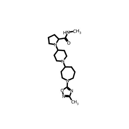 CNC(=O)C1CCCN1C1CCN(C2CCCN(c3nc(C)no3)CC2)CC1